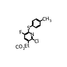 CCOC(=O)c1cc(F)c(Sc2ccc(C)cc2)nc1Cl